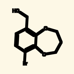 OCc1ccc(Br)c2c1OCCCO2